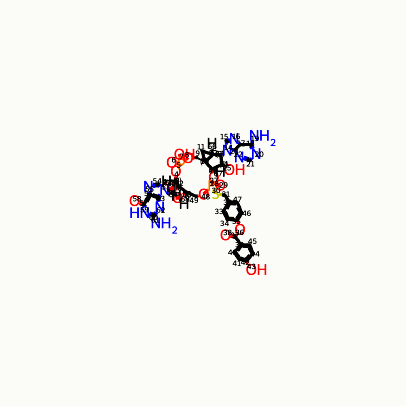 CO[C@H]1[C@H]2OP(=O)(O)OC[C@@]34C[C@@H]3[C@@H](N3C=NC5C(N)=NC=NC53)[C@H](O)[C@@H]4OP(=O)(SCc3ccc(OC(=O)c4ccc(O)cc4)cc3)OC[C@H]1O[C@H]2n1cnc2c(=O)[nH]c(N)nc21